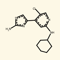 Nc1nc(-c2cc(NC3CCCCC3)ncc2Cl)cs1